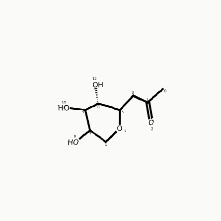 CC(=O)CC1OCC(O)C(O)[C@@H]1O